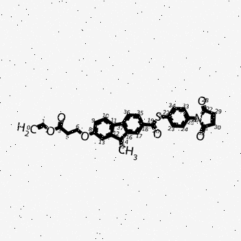 C=COC(=O)CCOc1ccc2c(c1)C(C)c1cc(C(=O)Sc3ccc(N4C(=O)C=CC4=O)cc3)ccc1-2